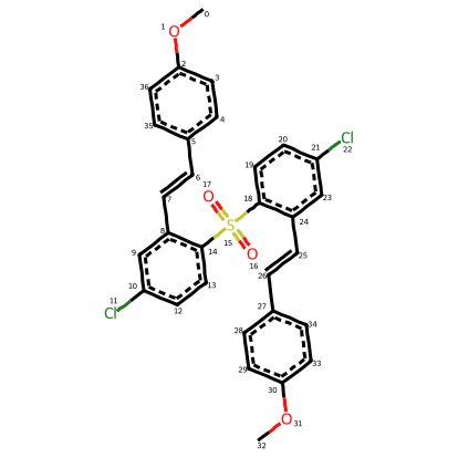 COc1ccc(C=Cc2cc(Cl)ccc2S(=O)(=O)c2ccc(Cl)cc2C=Cc2ccc(OC)cc2)cc1